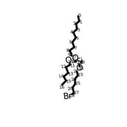 CCCCCCCCCC(OCCCCCC)O[Si](C)(C)OCCCCCCBr